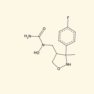 CC1(c2ccc(F)cc2)NOCC1CN(O)C(N)=O